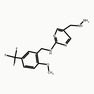 COc1ccc(C(F)(F)F)cc1CNc1ncc(CNN)cn1